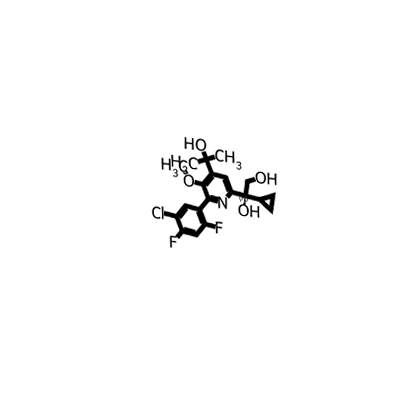 COc1c(C(C)(C)O)cc([C@@](O)(CO)C2CC2)nc1-c1cc(Cl)c(F)cc1F